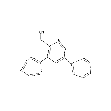 N#CCc1nnc(-c2ccccc2)cc1-c1ccccc1